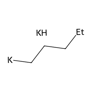 CCCC[CH2][K].[KH]